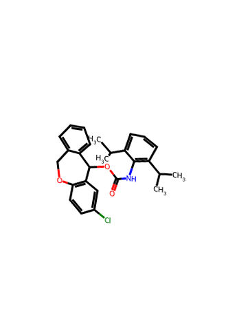 CC(C)c1cccc(C(C)C)c1NC(=O)OC1c2ccccc2COc2ccc(Cl)cc21